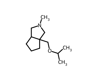 CC(C)OCC12CCCC1CN(C)C2